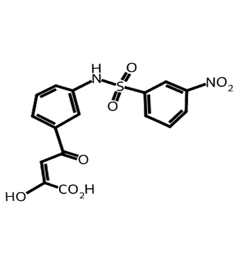 O=C(O)/C(O)=C\C(=O)c1cccc(NS(=O)(=O)c2cccc([N+](=O)[O-])c2)c1